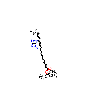 C[CH]CC[C@@H](CCCCCCCCCCCCC(=O)OC(C)(C)C)NCCN